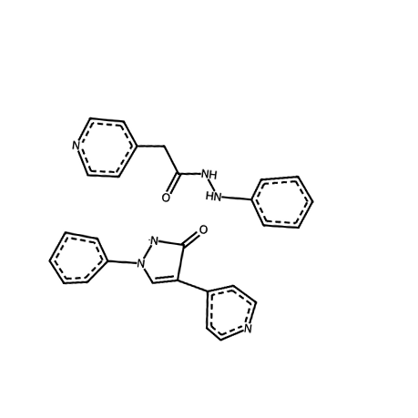 O=C(Cc1ccncc1)NNc1ccccc1.O=C1[N]N(c2ccccc2)C=C1c1ccncc1